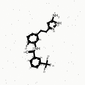 Nc1cc(CCc2ccc(F)c(NC(=O)c3cccc(C(F)(F)F)c3)c2)n[nH]1